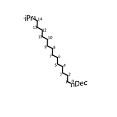 CCCCCCCCCCCCCCCCCCCCCCCC[C](C)C